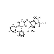 COCc1nc(C(C)(C)O)c(C(=O)O)n1Cc1ccc(-c2ccccc2-c2nnn[nH]2)cc1